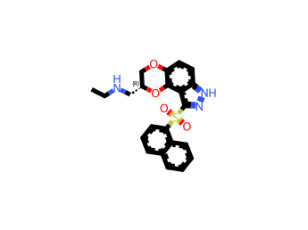 CCNC[C@@H]1COc2ccc3[nH]nc(S(=O)(=O)c4cccc5ccccc45)c3c2O1